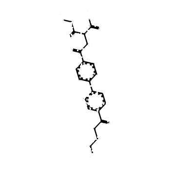 CCCCC(=O)c1ccc(-c2ccc(C(=O)CC(C(C)=O)C(=O)CO)cc2)cc1